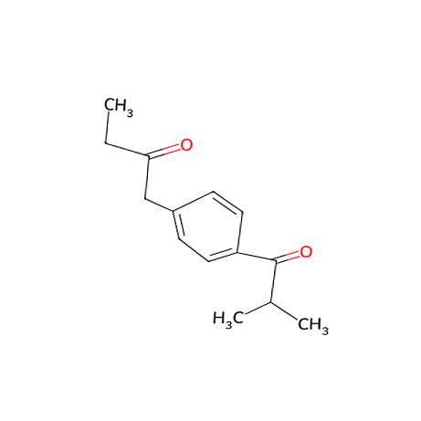 CCC(=O)Cc1ccc(C(=O)C(C)C)cc1